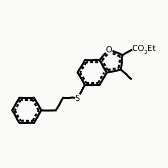 CCOC(=O)c1oc2ccc(SCCc3ccccc3)cc2c1C